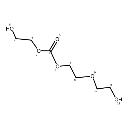 O=C(OCCO)OCCOCCO